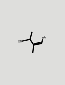 CCC/C=C(/C)C(C)N=O